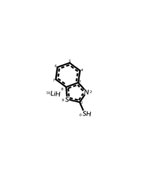 Sc1nc2ccccc2s1.[LiH]